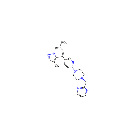 CC(C)COc1cc(-c2ccc(N3CCN(Cc4ncccn4)CC3)nc2)c2c(C#N)cnn2c1